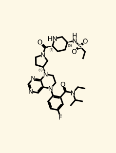 CCN(C(=O)c1cc(F)ccc1N1CCN([C@H]2CCN(C(=O)[C@@H]3CC[C@H](NS(=O)(=O)CC)CN3)C2)c2ncncc21)C(C)C